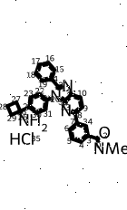 CNC(=O)c1cccc(-c2ccc3nc(-c4ccccc4)n(-c4ccc(C5(N)CCC5)cc4)c3n2)c1.Cl